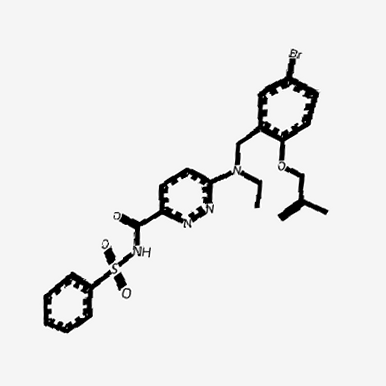 C=C(C)COc1ccc(Br)cc1CN(CC)c1ccc(C(=O)NS(=O)(=O)c2ccccc2)nn1